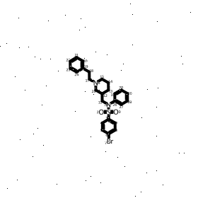 O=S(=O)(c1ccc(Br)cc1)N(CC1CCCN(CCc2ccccc2)C1)c1ccccc1